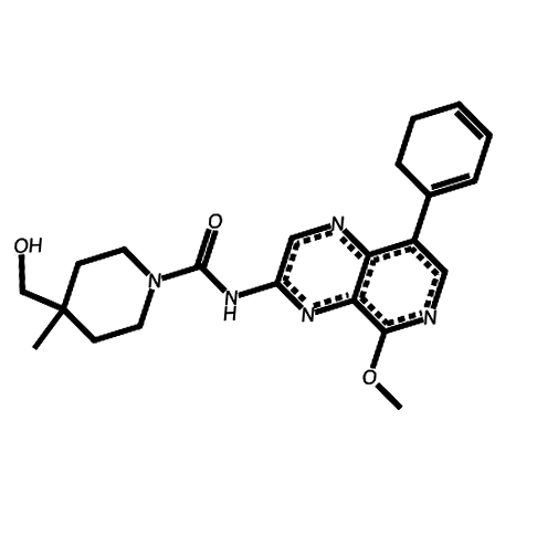 COc1ncc(C2=CC=CCC2)c2ncc(NC(=O)N3CCC(C)(CO)CC3)nc12